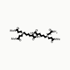 CNC(=O)CCN(CCCCC1NC(=O)C(CCCCN(CCC(=O)NC)CCC(=O)NC)NC1=O)CCC(N)=O